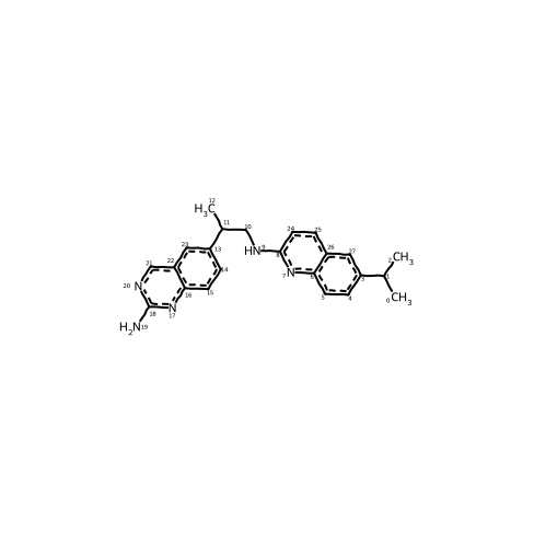 CC(C)c1ccc2nc(NCC(C)c3ccc4nc(N)ncc4c3)ccc2c1